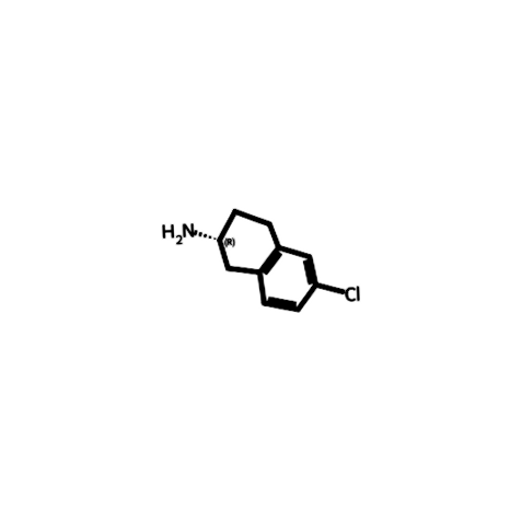 N[C@@H]1CCc2cc(Cl)ccc2C1